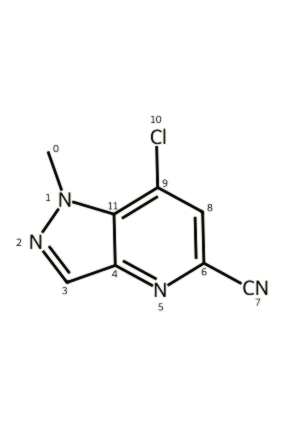 Cn1ncc2nc(C#N)cc(Cl)c21